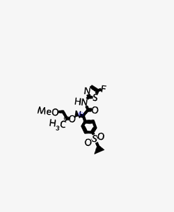 COC[C@@H](C)O/N=C(/C(=O)Nc1ncc(F)s1)c1ccc(S(=O)(=O)C2CC2)cc1